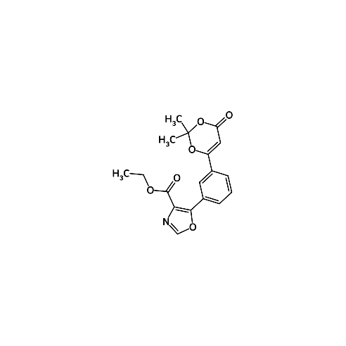 CCOC(=O)c1ncoc1-c1cccc(C2=CC(=O)OC(C)(C)O2)c1